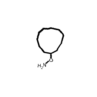 NOC1CCCCCCCCCC1